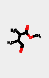 COC(=O)C(C)C(C)C=O